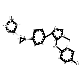 Cn1cnc(-c2ccc([C@H]3C[C@@H]3c3nn[nH]n3)cc2)c1Sc1ccc(Cl)cn1